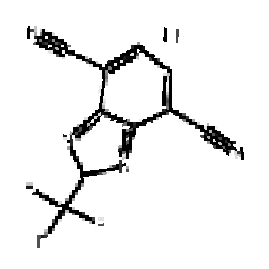 N#Cc1ccc(C#N)c2c1=NC(C(F)(F)F)N=2.[LiH]